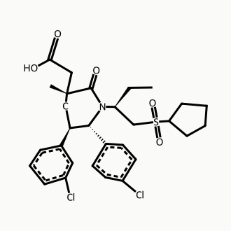 CC[C@@H](CS(=O)(=O)C1CCCC1)N1C(=O)[C@@](C)(CC(=O)O)C[C@H](c2cccc(Cl)c2)[C@H]1c1ccc(Cl)cc1